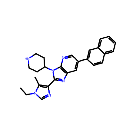 CCn1cnc(-c2nc3cc(-c4ccc5ccccc5c4)cnc3n2C2CCNCC2)c1C